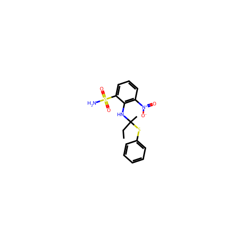 CCC(C)(Nc1c([N+](=O)[O-])cccc1S(N)(=O)=O)Sc1ccccc1